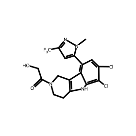 Cn1nc(C(F)(F)F)cc1-c1cc(Cl)c(Cl)c2[nH]c3c(c12)CN(C(=O)CO)CC3